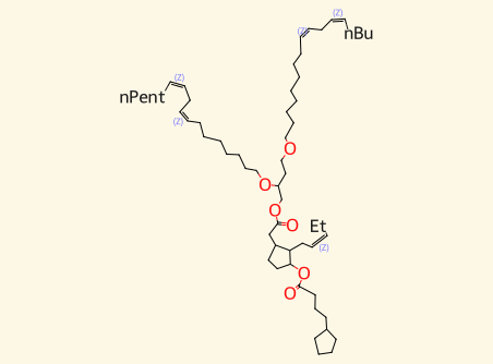 CC/C=C\CC1C(CC(=O)OCC(CCOCCCCCCCC/C=C\C/C=C\CCCC)OCCCCCCC/C=C\C/C=C\CCCCC)CCC1OC(=O)CCCC1CCCC1